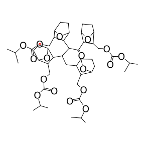 CC(C)OC(=O)OCC1C2CCC(O2)C1CC(C(C(=O)C1C2CCC(O2)C1COC(=O)OC(C)C)C1C2CCC(O2)C1COC(=O)OC(C)C)C1C2CCC(O2)C1COC(=O)OC(C)C